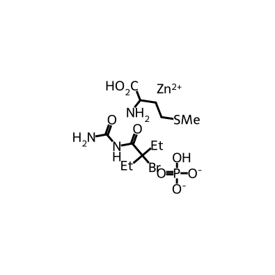 CCC(Br)(CC)C(=O)NC(N)=O.CSCCC(N)C(=O)O.O=P([O-])([O-])O.[Zn+2]